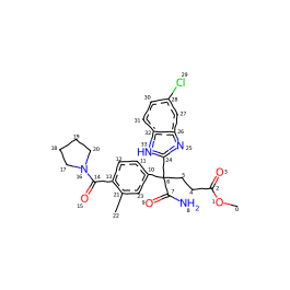 COC(=O)CCC(C(N)=O)(c1ccc(C(=O)N2CCCC2)c(C)c1)c1nc2cc(Cl)ccc2[nH]1